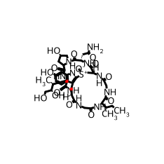 CC[C@H](C)[C@@H]1NC(=O)CNC(=O)[C@@H]2Cc3c([nH]c4cc(O)ccc34)[S+]([O-])C[C@H](NC(=O)CNC1=O)C(=O)N[C@@H](CC(N)=O)C(=O)N1C[C@H](O)CC1C(=O)N[C@@H]([C@@H](C)[C@@H](O)CO)C(=O)N2